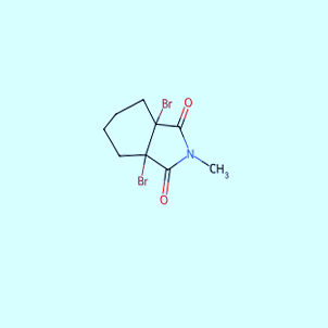 CN1C(=O)C2(Br)CCCCC2(Br)C1=O